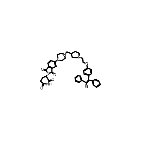 CCC(=C(c1ccccc1)c1ccc(OCCN2CCC(CN3CCN(c4ccc5c(c4)C(=O)N(C4CCC(=O)NC4=O)C5=O)CC3)CC2)cc1)c1ccccc1